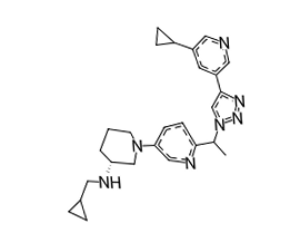 CC(c1ccc(N2CCC[C@@H](NCC3CC3)C2)cn1)n1cc(-c2cncc(C3CC3)c2)nn1